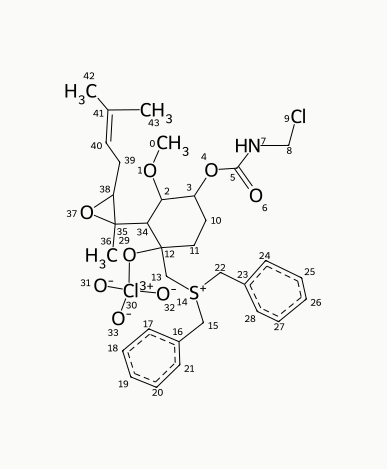 COC1C(OC(=O)NCCl)CCC(C[S+](Cc2ccccc2)Cc2ccccc2)(O[Cl+3]([O-])([O-])[O-])C1C1(C)OC1CC=C(C)C